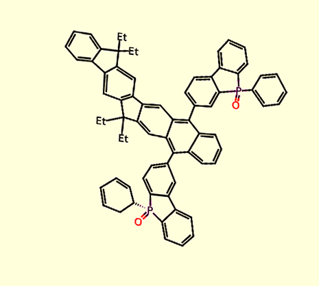 CCC1(CC)c2ccccc2-c2cc3c(cc21)-c1cc2c(-c4ccc5c(c4)P(=O)(c4ccccc4)c4ccccc4-5)c4ccccc4c(-c4ccc5c(c4)-c4ccccc4[P@]5(=O)C4C=CC=CC4)c2cc1C3(CC)CC